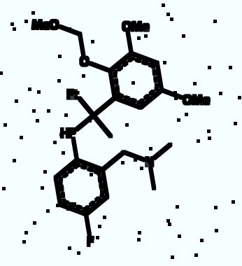 CCC(C)(Pc1ccc(F)cc1CN(C)C)c1cc(OC)cc(OC)c1OCOC